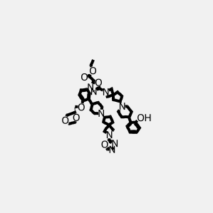 CCOC(=O)c1nnc(N2CC3(CC[C@@H](N4CCC(c5ccccc5O)CC4)C3)C2)o1.c1ccc(C2CCN([C@@H]3CCC4(C3)CN(c3nnco3)C4)CC2)c(OC[C@H]2COCCO2)c1